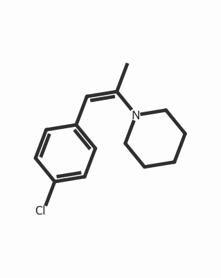 CC(=Cc1ccc(Cl)cc1)N1CCCCC1